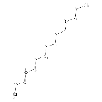 ClCCOCC[CH]COCCOCCCl